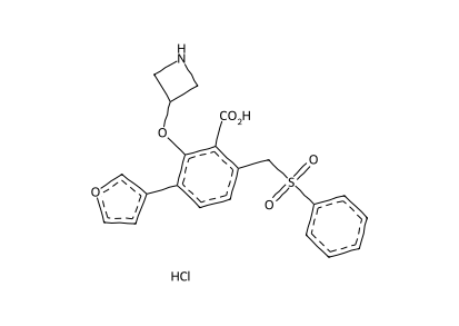 Cl.O=C(O)c1c(CS(=O)(=O)c2ccccc2)ccc(-c2ccoc2)c1OC1CNC1